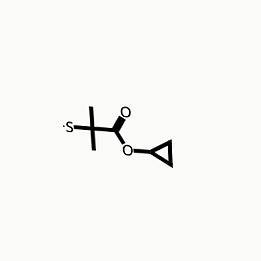 CC(C)([S])C(=O)OC1CC1